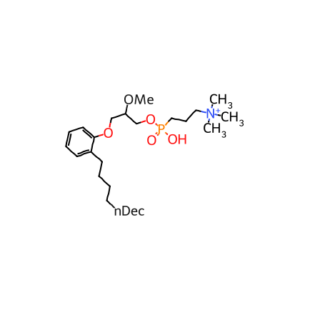 CCCCCCCCCCCCCCc1ccccc1OCC(COP(=O)(O)CCC[N+](C)(C)C)OC